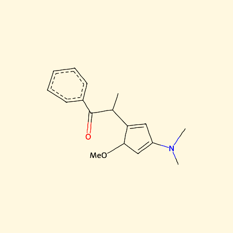 COC1C=C(N(C)C)C=C1C(C)C(=O)c1ccccc1